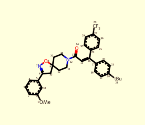 COc1cccc(C2=NOC3(CCN(C(=O)C=C(c4ccc(C(C)(C)C)cc4)c4ccc(C(F)(F)F)cc4)CC3)C2)c1